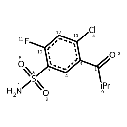 CC(C)C(=O)c1cc(S(N)(=O)=O)c(F)cc1Cl